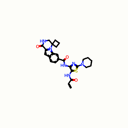 C=CC(=O)Nc1sc(N2CCCCC2)nc1NC(=O)c1ccc2cc3n(c2c1)C1(CCC1)CNC3=O